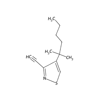 C#Cc1nscc1C(C)(C)CCCC